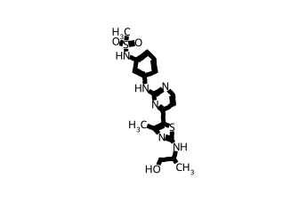 Cc1nc(NC(C)CO)sc1-c1ccnc(Nc2cccc(NS(C)(=O)=O)c2)n1